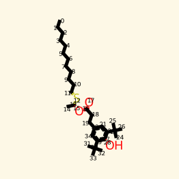 CCCCCCCCCCCCSC(C)OC(=O)CCc1cc(C(C)(C)C)c(O)c(C(C)(C)C)c1